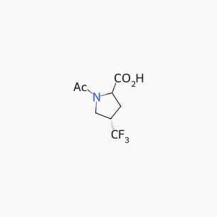 CC(=O)N1C[C@@H](C(F)(F)F)CC1C(=O)O